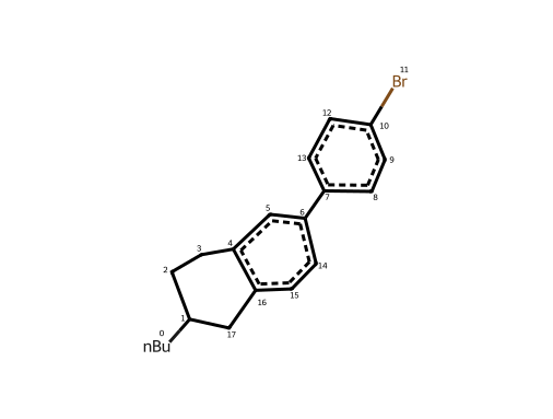 CCCCC1CCc2cc(-c3ccc(Br)cc3)ccc2C1